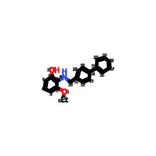 CCOc1cccc(O)c1NCc1ccc(-c2ccccc2)cc1